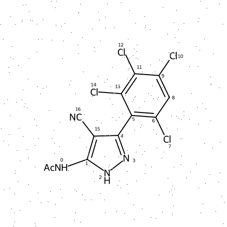 CC(=O)Nc1[nH]nc(-c2c(Cl)cc(Cl)c(Cl)c2Cl)c1C#N